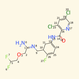 N/C(COCC(F)F)=N/CC1CC(NC(=O)c2ncc(Cl)cc2Cl)=CC=C1F